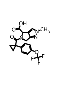 Cn1cc2c(n1)CN(C(=O)C1(c3ccc(OC(F)(F)F)cc3)CC1)C2C(=O)O